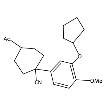 COc1ccc(C2(C#N)CCC(C(C)=O)CC2)cc1OC1CCCC1